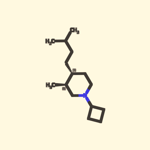 CC(C)CC[C@@H]1CCN(C2CCC2)C[C@H]1C